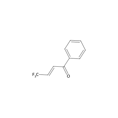 O=C(C=CC(F)(F)F)c1ccccc1